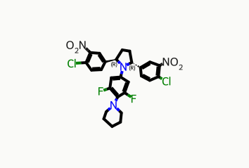 O=[N+]([O-])c1cc([C@H]2CC[C@H](c3ccc(Cl)c([N+](=O)[O-])c3)N2c2cc(F)c(N3CCCCC3)c(F)c2)ccc1Cl